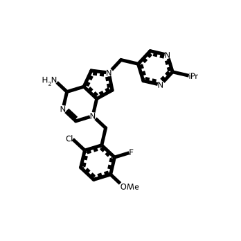 COc1ccc(Cl)c(CN2C=NC(N)c3cn(Cc4cnc(C(C)C)nc4)cc32)c1F